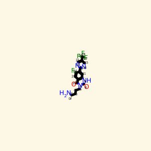 C[C@H](N)CCCn1c(=O)[nH]c2cc(-c3ncc(C(F)(F)F)cn3)c(F)cc2c1=O